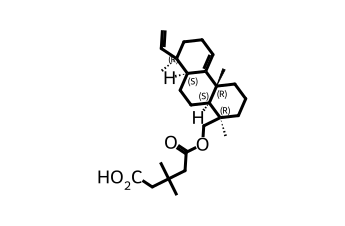 C=C[C@@]1(C)CCC=C2[C@H]1CC[C@@H]1[C@](C)(COC(=O)CC(C)(C)CC(=O)O)CCC[C@@]21C